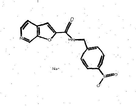 O=C(NCc1ccc(S(=O)[O-])cc1)c1cc2ccncc2o1.[Na+]